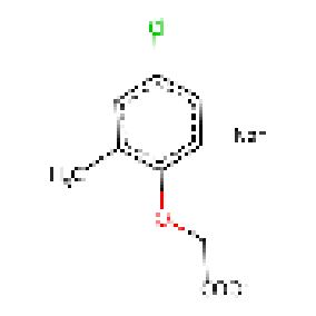 Cc1cc(Cl)ccc1OCC(=O)[O-].[Na+]